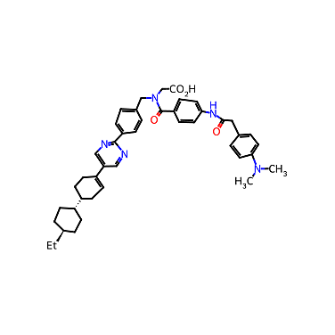 CC[C@H]1CC[C@H](C2CC=C(c3cnc(-c4ccc(CN(CC(=O)O)C(=O)c5ccc(NC(=O)Cc6ccc(N(C)C)cc6)cc5)cc4)nc3)CC2)CC1